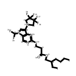 CCCCC(CC)COC(=O)CCSc1ncc2c(n1)c(N1CC(F)(F)C(F)(F)C1)cn2C(F)F